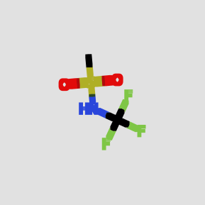 CS(=O)(=O)NC(F)(F)F